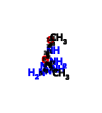 CNc1nc(N)nc(OCCNCCOC)c1N